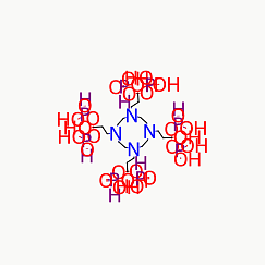 O=[PH](O)OC(O)(CCN1CCN(CCC(O)(OP(O)O)O[PH](=O)O)CCN(CCC(O)(O[PH](=O)O)O[PH](=O)O)CCN(CCC(O)(O[PH](=O)O)O[PH](=O)O)CC1)OP(O)O